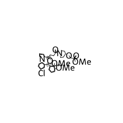 COC(=O)COC1CCN(C(=O)CC[C@H]2O[C@H](c3cccc(OC)c3OC)c3cc(Cl)ccc3-n3cccc32)CC1